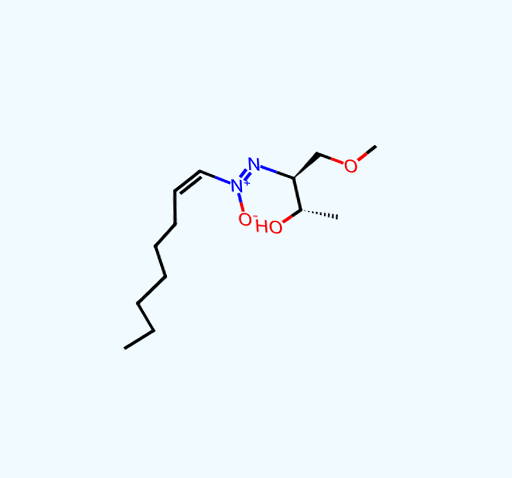 CCCCCC/C=C\[N+]([O-])=N\[C@@H](COC)[C@H](C)O